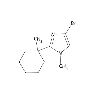 Cn1cc(Br)nc1C1(C)CCCCC1